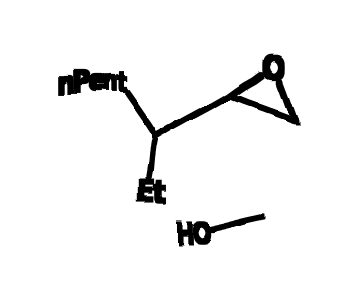 CCCCCC(CC)C1CO1.CO